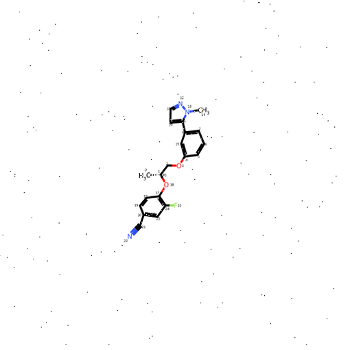 C[C@H](COc1cccc(-c2ccnn2C)c1)Oc1ccc(C#N)cc1F